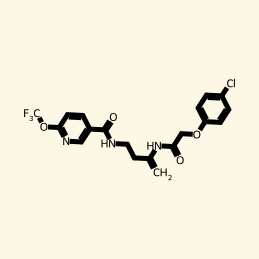 C=C(CCNC(=O)c1ccc(OC(F)(F)F)nc1)NC(=O)COc1ccc(Cl)cc1